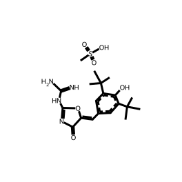 CC(C)(C)c1cc(/C=C2\OC(NC(=N)N)=NC2=O)cc(C(C)(C)C)c1O.CS(=O)(=O)O